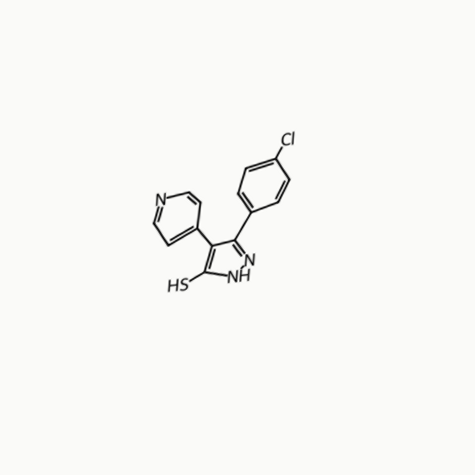 Sc1[nH]nc(-c2ccc(Cl)cc2)c1-c1ccncc1